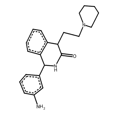 Nc1cccc(C2NC(=O)C(CCN3CCCCC3)c3ccccc32)c1